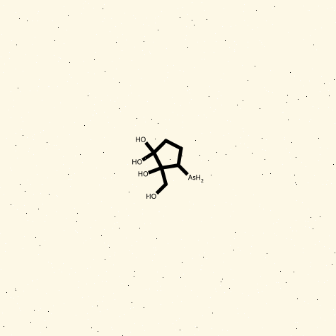 OCC1(O)C([AsH2])CCC1(O)O